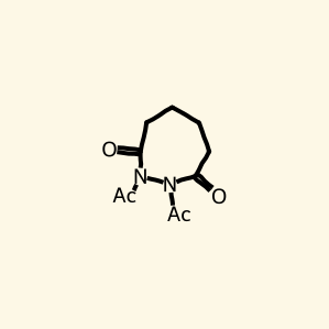 CC(=O)N1C(=O)CCCCC(=O)N1C(C)=O